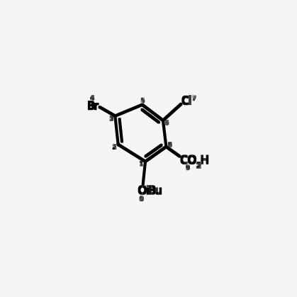 CC(C)COc1cc(Br)cc(Cl)c1C(=O)O